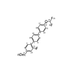 CCCCCCCCCCc1ccc(-c2ccc(-c3ccc(OC(F)F)cc3)cc2)c(F)c1